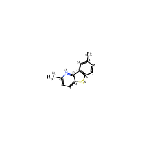 CCc1ccc2sc3ccc(C)nc3c2c1